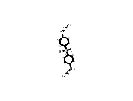 CC[Si](CC)(C1CCC(N=C=O)CC1)C1CCC(N=C=O)CC1